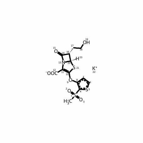 CS(=O)(=O)c1sccc1OC1=C(C(=O)[O-])N2C(=O)[C@H](CCO)[C@H]2S1.[K+]